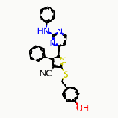 N#Cc1c(SCc2ccc(O)cc2)sc(-c2ccnc(Nc3ccccc3)n2)c1-c1ccccc1